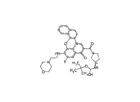 CC(C)(C)OC(O)N[C@@H]1CCN(C(=O)c2cn3c4c(c(NCCN5CCOCC5)c(F)cc4c2=O)Oc2c-3ccc3ccccc23)C1